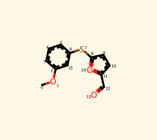 COc1cccc(Sc2ccc(C=O)o2)c1